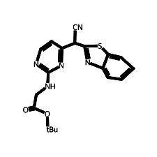 CC(C)(C)OC(=O)CNc1nccc(C(C#N)c2nc3ccccc3s2)n1